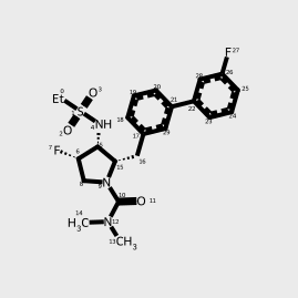 CCS(=O)(=O)N[C@H]1[C@@H](F)CN(C(=O)N(C)C)[C@H]1Cc1cccc(-c2cccc(F)c2)c1